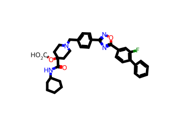 O=C(O)OC1(C(=O)NC2CCCCC2)CCN(Cc2ccc(-c3noc(-c4ccc(-c5ccccc5)c(F)c4)n3)cc2)CC1